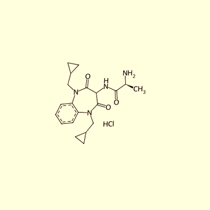 C[C@H](N)C(=O)NC1C(=O)N(CC2CC2)c2ccccc2N(CC2CC2)C1=O.Cl